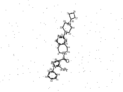 CCCc1c(C(=O)N2CCc3cnc(N4CCN(C5CCC5)CC4)nc3CC2)cnn1-c1ccccc1